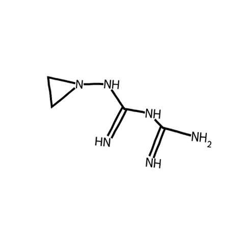 N=C(N)NC(=N)NN1CC1